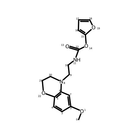 COc1ccc2c(c1)N(CCNC(=O)Oc1ccco1)CCO2